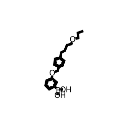 CCCOCCCCc1ccc(COc2cccc(B(O)O)c2)cc1